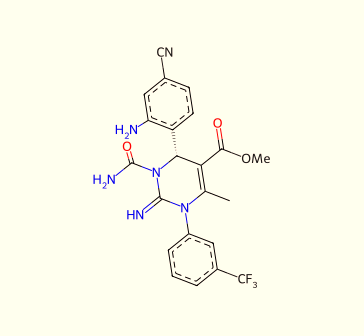 COC(=O)C1=C(C)N(c2cccc(C(F)(F)F)c2)C(=N)N(C(N)=O)[C@@H]1c1ccc(C#N)cc1N